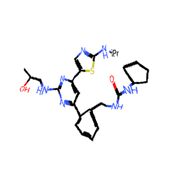 CC(O)CNc1nc(-c2cnc(NC(C)C)s2)cc(-c2ccccc2CNC(=O)NC2CCCC2)n1